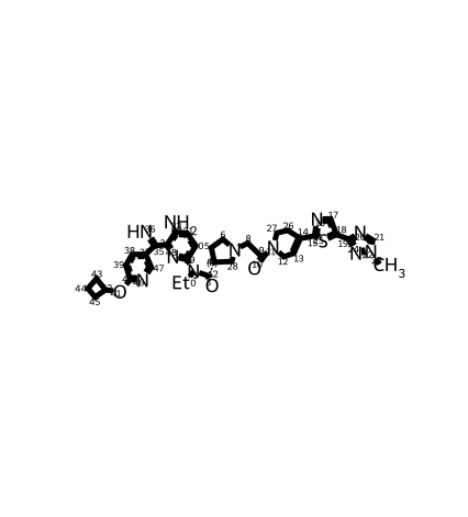 CCN(C(=O)[C@@H]1CCN(CC(=O)N2CC=C(c3ncc(-c4ncn(C)n4)s3)CC2)C1)c1ccc(N)c(C(=N)c2ccc(OC3CCC3)nc2)n1